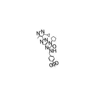 Cc1ncnc(C2CC2)c1-c1ncc2nc(NCc3ccc(S(C)(=O)=O)cc3)c(=O)n(C3CCCC3)c2n1